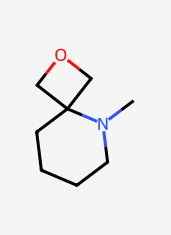 CN1CCCCC12COC2